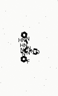 Fc1cccc(-n2cnc3c(NCc4nc5ccccc5[nH]4)nc(N4CCOCC4)nc32)c1